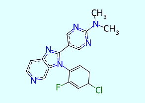 CN(C)c1ncc(-c2nc3ccncc3n2C2=CCC(Cl)C=C2F)cn1